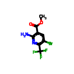 COC(=O)c1cc(Br)c(C(F)(F)F)nc1N